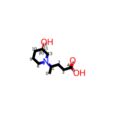 CC(CCC(=O)O)N1CCC[C@@H](O)C1